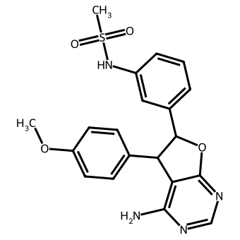 COc1ccc(C2c3c(N)ncnc3OC2c2cccc(NS(C)(=O)=O)c2)cc1